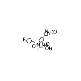 C[C@H]1CN(C(=O)O)c2cc(-c3cnn(C4COC4)c3)ccc2N1C(=O)Cc1ccc(F)cc1